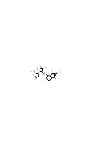 Cn1cc(-c2n[nH]cc2C(=O)Nc2cccc3c2[C@@H]2CC[C@H]3C2=C(Cl)Cl)c(C(F)F)n1